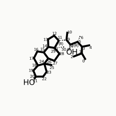 CC(C)C(C)[C@@H](C)[C@H](O)C(C)[C@H]1CCC2C3CCC4CC(O)CCC4(C)C3CC[C@@]21C